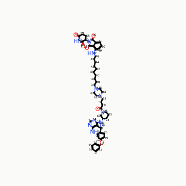 Nc1ncnc2c1c(-c1ccc(Oc3ccccc3)cc1)nn2[C@@H]1CCCN(C(=O)CCCN2CCN(CCCCCCCCCCNc3cccc4c3C(=O)N(C3CCC(=O)NC3=O)C4=O)CC2)C1